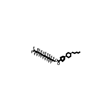 CCCCC[C@H]1CC[C@H](c2ccc(C(=O)OCC(F)(F)C(F)(F)C(F)(F)C(F)(F)C(F)(F)C(F)(F)C(F)(F)C(F)(F)C(F)(F)C(F)F)cc2)CC1